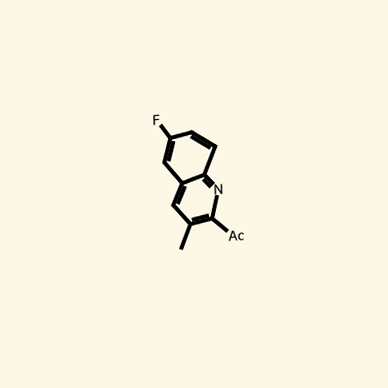 CC(=O)c1nc2ccc(F)cc2cc1C